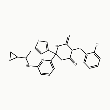 CC(Nc1cccc(C2(c3ccsc3)CC(=O)C(Sc3ccccc3Cl)C(=O)N2)n1)C1CC1